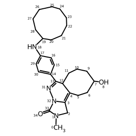 CN1CC2=C3CCC(O)CCCC3C(c3ccc(NC4CCCCCCCCC4)cc3)=NN2C1=O